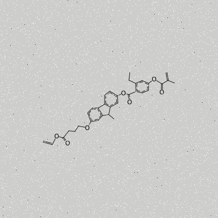 C=COC(=O)CCCOc1ccc2c(c1)C(C)c1cc(OC(=O)c3ccc(OC(=O)C(=C)C)cc3CC)ccc1-2